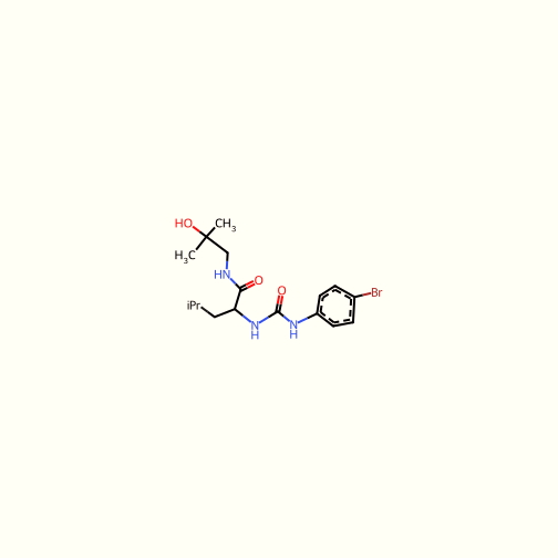 CC(C)CC(NC(=O)Nc1ccc(Br)cc1)C(=O)NCC(C)(C)O